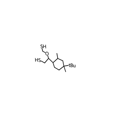 CC1CC(C)(C(C)(C)C)CCC1C(CS)OCS